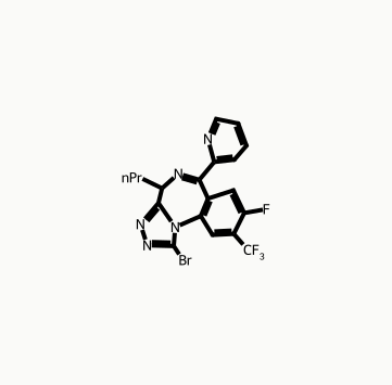 CCCC1N=C(c2ccccn2)c2cc(F)c(C(F)(F)F)cc2-n2c(Br)nnc21